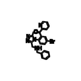 Cc1nnc(CNCc2ccccc2)n1-c1ccc(Br)cc1C(=O)c1ccccn1